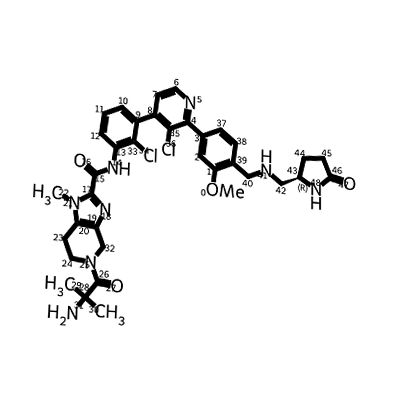 COc1cc(-c2nccc(-c3cccc(NC(=O)c4nc5c(n4C)CCN(C(=O)C(C)(C)N)C5)c3Cl)c2Cl)ccc1CNC[C@H]1CCC(=O)N1